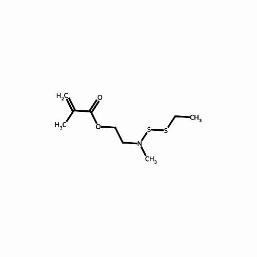 C=C(C)C(=O)OCCN(C)SSCC